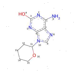 Nc1nc(O)nc2c1ncn2C1CCCCO1